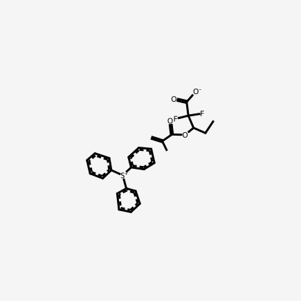 C=C(C)C(=O)OC(CC)C(F)(F)C(=O)[O-].c1ccc([S+](c2ccccc2)c2ccccc2)cc1